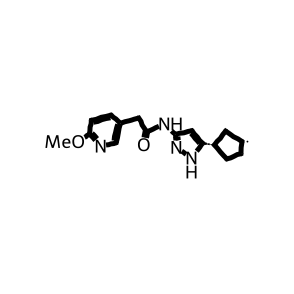 COc1ccc(CC(=O)Nc2cc([C@@H]3C[CH]CC3)[nH]n2)cn1